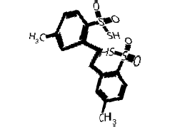 Cc1ccc(S(=O)(=O)S)c(CCc2cc(C)ccc2S(=O)(=O)S)c1